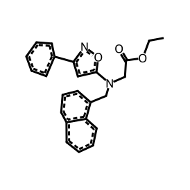 CCOC(=O)CN(Cc1cccc2ccccc12)c1cc(-c2ccccc2)no1